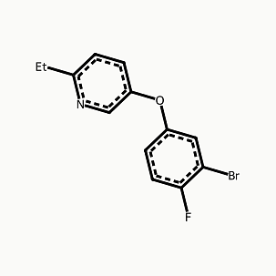 CCc1ccc(Oc2ccc(F)c(Br)c2)cn1